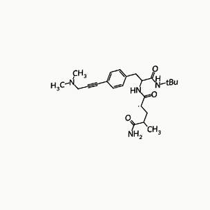 CC(C[CH]C(=O)NC(Cc1ccc(C#CCN(C)C)cc1)C(=O)NC(C)(C)C)C(N)=O